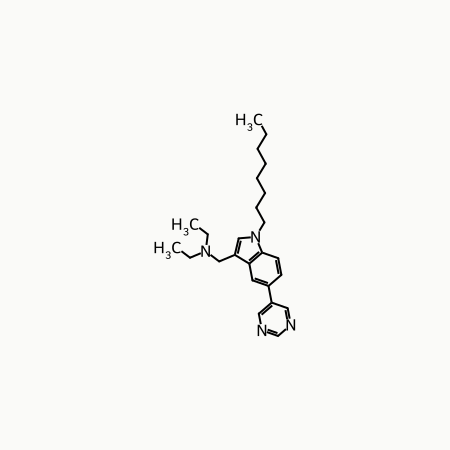 CCCCCCCCn1cc(CN(CC)CC)c2cc(-c3cncnc3)ccc21